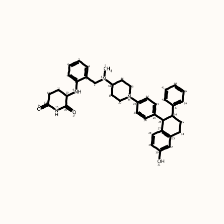 CN(Cc1ccccc1NC1CCC(=O)NC1=O)C1CCN(c2ccc(C3c4ccc(O)cc4CCC3c3ccccc3)cc2)CC1